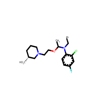 CC(C)CN(c1ccc(F)cc1Cl)C(C)OCCN1CCC[C@@H](C(=O)O)C1